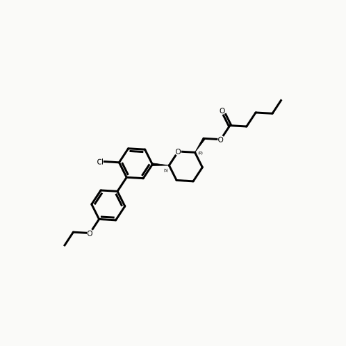 CCCCC(=O)OC[C@H]1CCC[C@@H](c2ccc(Cl)c(-c3ccc(OCC)cc3)c2)O1